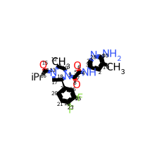 Cc1cc(NC(=O)C(=O)N2C[C@H](C)N(C(=O)C(C)C)C[C@@H]2c2ccc(F)c(F)c2)cnc1N